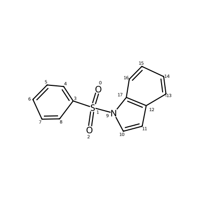 O=S(=O)(c1ccccc1)n1ccc2[c]cccc21